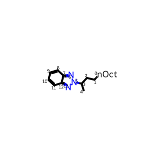 CCCCCC[CH]CCCC(C)n1nc2ccccc2n1